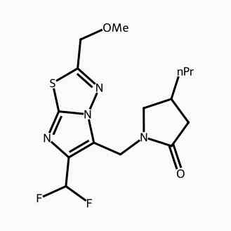 CCCC1CC(=O)N(Cc2c(C(F)F)nc3sc(COC)nn23)C1